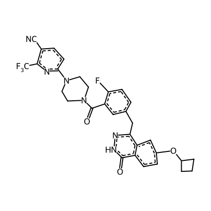 N#Cc1ccc(N2CCN(C(=O)c3cc(Cc4n[nH]c(=O)c5ccc(OC6CCC6)cc45)ccc3F)CC2)nc1C(F)(F)F